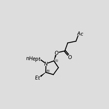 CCCCCCCN1[C@H](CC)CC[C@@H]1OC(=O)CCC(C)=O